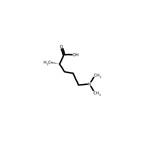 C[C@@H](CCCN(C)C)C(=O)O